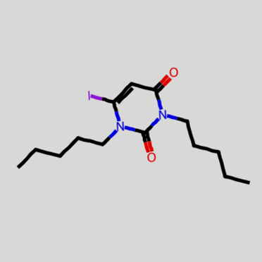 CCCCCn1c(I)cc(=O)n(CCCCC)c1=O